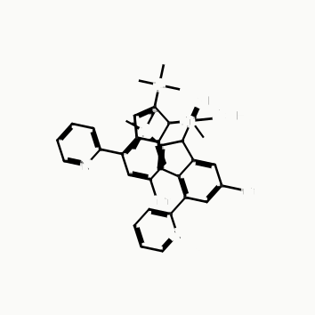 CC(C)c1cc(-c2ccccn2)c2c(c1)[CH]([Zr]([CH3])([CH3])(=[SiH2])[CH]1C([Si](C)(C)C)=Cc3c(-c4ccccn4)cc(C(C)C)cc31)C([Si](C)(C)C)=C2.Cl.Cl